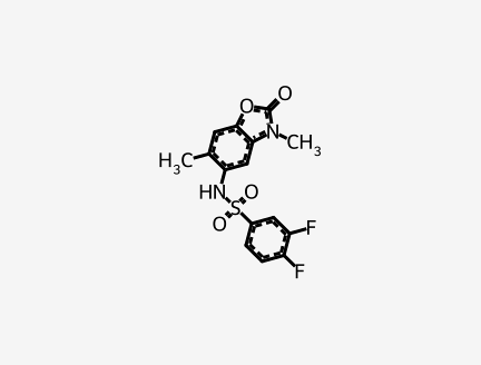 Cc1cc2oc(=O)n(C)c2cc1NS(=O)(=O)c1ccc(F)c(F)c1